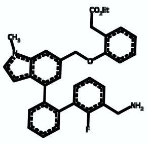 CCOC(=O)Cc1ccccc1OCc1cc(-c2ccccc2-c2cccc(CN)c2F)c2ccn(C)c2c1